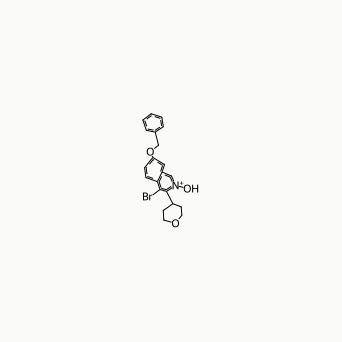 O[n+]1cc2cc(OCc3ccccc3)ccc2c(Br)c1C1CCOCC1